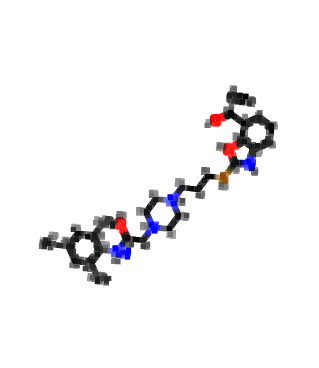 COC(=O)c1cccc2nc(SCCCN3CCN(CC(=O)Nc4c(C(C)C)cc(C(C)C)cc4C(C)C)CC3)oc12